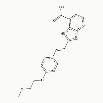 COCCOc1ccc(C=Cc2nc3cccc(C(=O)O)c3[nH]2)cc1